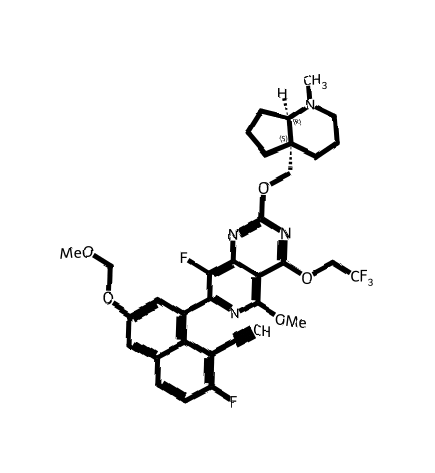 C#Cc1c(F)ccc2cc(OCOC)cc(-c3nc(OC)c4c(OCC(F)(F)F)nc(OC[C@]56CCC[C@H]5N(C)CCC6)nc4c3F)c12